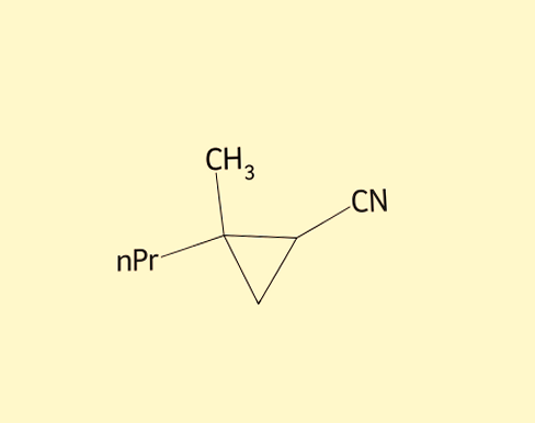 CCCC1(C)CC1C#N